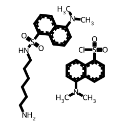 CN(C)c1cccc2c(S(=O)(=O)Cl)cccc12.CN(C)c1cccc2c(S(=O)(=O)NCCCCCCN)cccc12